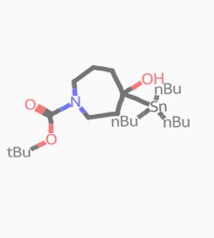 CCC[CH2][Sn]([CH2]CCC)([CH2]CCC)[C]1(O)CCCN(C(=O)OC(C)(C)C)CC1